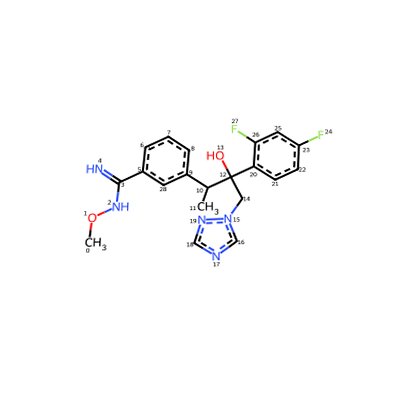 CONC(=N)c1[c]ccc(C(C)C(O)(Cn2cncn2)c2ccc(F)cc2F)c1